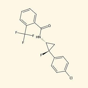 O=C(N[C@@H]1C[C@]1(F)c1ccc(Cl)cc1)c1ccccc1C(F)(F)F